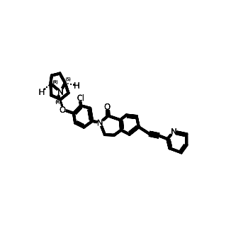 CN1[C@@H]2CC[C@H]1C[C@@H](Oc1ccc(N3CCc4cc(C#Cc5ccccn5)ccc4C3=O)cc1Cl)C2